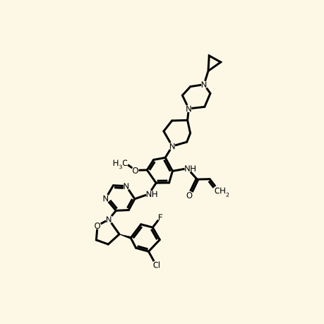 C=CC(=O)Nc1cc(Nc2cc(N3OCC[C@@H]3c3cc(F)cc(Cl)c3)ncn2)c(OC)cc1N1CCC(N2CCN(C3CC3)CC2)CC1